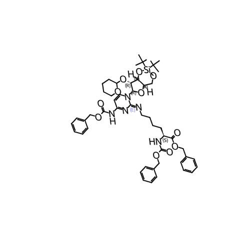 CC(C)(C)[Si]1(C(C)(C)C)OC[C@H]2O[C@@H](n3ccc(NC(=O)OCc4ccccc4)n/c3=N\CCCC[C@H](NC(=O)OCc3ccccc3)C(=O)OCc3ccccc3)[C@H](OC3CCCCO3)[C@@H]2O1